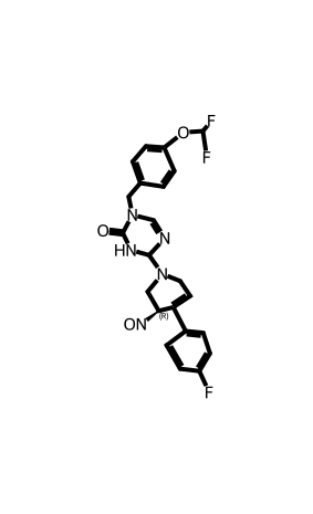 O=N[C@H]1CN(C2N=CN(Cc3ccc(OC(F)F)cc3)C(=O)N2)CC=C1c1ccc(F)cc1